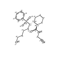 N#CCNC(=O)[C@@H]1CCCC[C@H]1C(SCCCO)S(=O)(=O)c1ccccc1